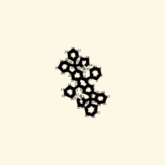 c1ccc(-c2c3cc4c(cc3c(-c3ccccc3)c3cc5c(cc23)C(c2ccccc2)(c2cccs2)c2ccccc2-5)C(c2ccccc2)(c2cccs2)c2ccccc2-4)cc1